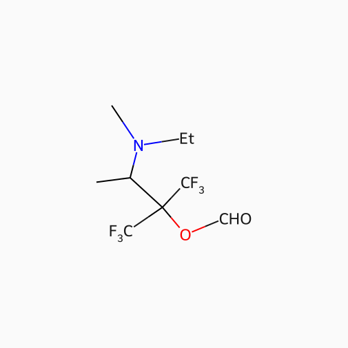 CCN(C)C(C)C(OC=O)(C(F)(F)F)C(F)(F)F